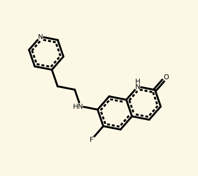 O=c1ccc2cc(F)c(NCCc3ccncc3)cc2[nH]1